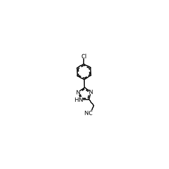 N#CCc1nc(-c2ccc(Cl)cc2)n[nH]1